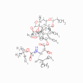 C=CC1OC2C[C@H]3OC[C@@]3(OC(C)=O)[C@H]3[C@H](C)[C@]4(C(C)(C)O)C[C@H](OC(=O)C(O)[C@H](CC(C)C)NC(=O)OC(C)(C)C)C(C)=C4[C@H](C)[C@H](O1)[C@]23C